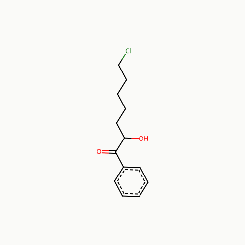 O=C(c1ccccc1)C(O)CCCCCCl